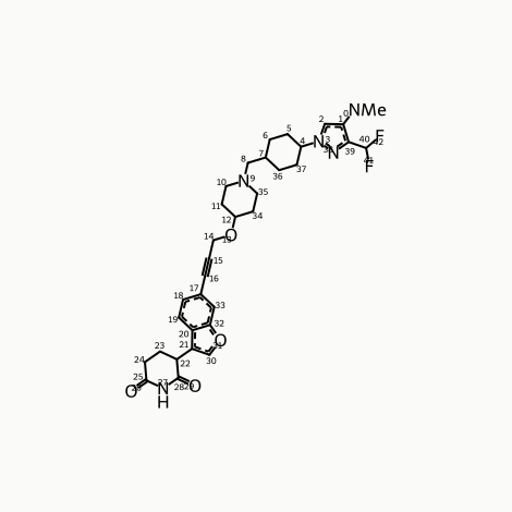 CNc1cn(C2CCC(CN3CCC(OCC#Cc4ccc5c(C6CCC(=O)NC6=O)coc5c4)CC3)CC2)nc1C(F)F